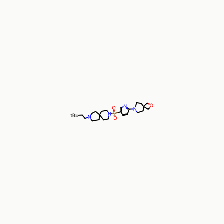 CC(C)(C)CCN1CCC2(CC1)CCN(S(=O)(=O)c1ccc(N3CCC4(CC3)COC4)nc1)CC2